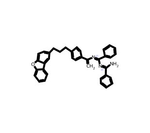 C=C(/N=C(\N=C(/N)c1ccccc1)c1ccccc1)c1ccc(CCCc2ccc3oc4ccccc4c3c2)cc1